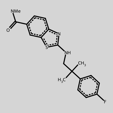 CNC(=O)c1ccc2nc(NCC(C)(C)c3ccc(F)cc3)sc2c1